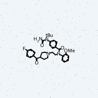 COc1ccccc1N(CCN1CCC(C(=O)c2ccc(F)cc2)CC1)C(=O)c1ccc(N(C(N)=O)C(C)(C)C)cc1